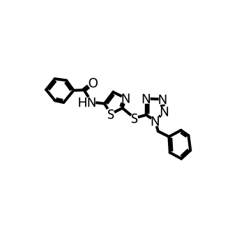 O=C(Nc1cnc(Sc2nnnn2Cc2ccccc2)s1)c1ccccc1